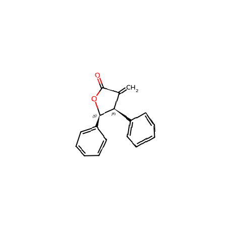 C=C1C(=O)O[C@H](c2ccccc2)[C@@H]1c1ccccc1